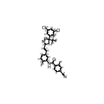 Cc1cc(C#N)ccc1C(=O)Nc1cc(/C=C/C2=NOC(c3cc(Cl)cc(Cl)c3)(C(F)(F)F)C2)ccc1F